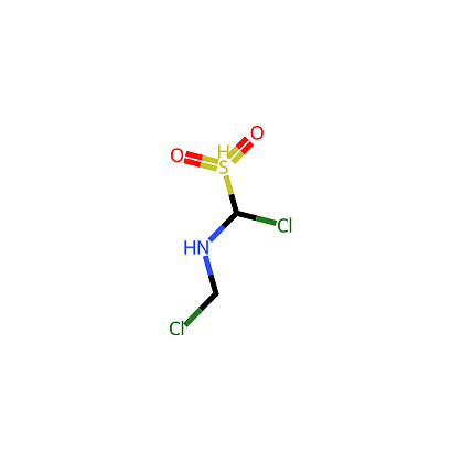 O=[SH](=O)C(Cl)NCCl